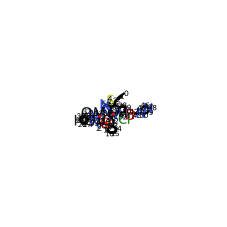 CC#Cc1sc2ncnc(N[C@H](Cc3ccccc3OCc3ccnc(-c4ccccc4OC)n3)C(=O)O)c2c1-c1ccc(OCCN2CCN(C)CC2)c(Cl)c1C